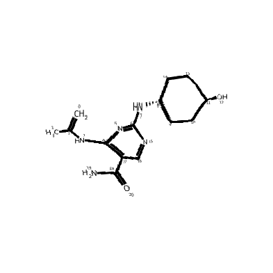 C=C(C)Nc1nc(N[C@H]2CC[C@H](O)CC2)ncc1C(N)=O